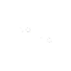 NC(=O)c1ccc[n+]([C@@H]2O[C@H](COP3(=O)OCCC(c4cccc(Cl)c4)O3)C(O)[C@@H]2O)c1